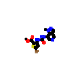 COC(=O)c1sc(Br)cc1NC(=O)Nc1cncc2cnn(C)c12